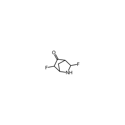 O=C1C(F)C2CC1C(F)N2